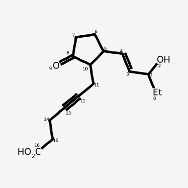 CCC(O)C=CC1CCC(=O)C1CC#CCCC(=O)O